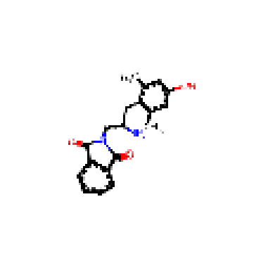 Cc1cc(O)cc(C)c1CC(N)CN1C(=O)c2ccccc2C1=O